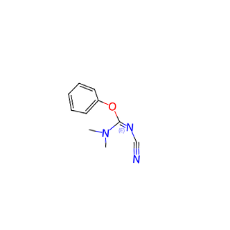 CN(C)/C(=N\C#N)Oc1ccccc1